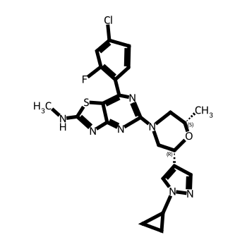 CNc1nc2nc(N3C[C@@H](c4cnn(C5CC5)c4)O[C@@H](C)C3)nc(-c3ccc(Cl)cc3F)c2s1